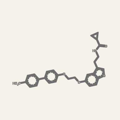 O=C(O)c1ccc(-c2ccc(OCCOc3ccc4occ(CCNC(=O)C5CC5)c4c3)cc2)cc1